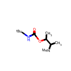 CNC(C)C(C)OC(=O)NC(C)(C)C